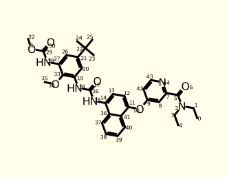 CCN(CC)C(=O)c1cc(Oc2ccc(NC(=O)Nc3cc(C(C)(C)C)cc(NC(=O)OC)c3OC)c3ccccc23)ccn1